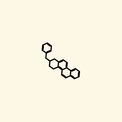 c1ccc(CC2CCc3c(ccc4c3ccc3ccccc34)C2)cc1